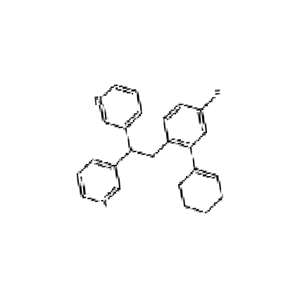 Fc1ccc(CC(c2cccnc2)c2cccnc2)c(C2=CCCCC2)c1